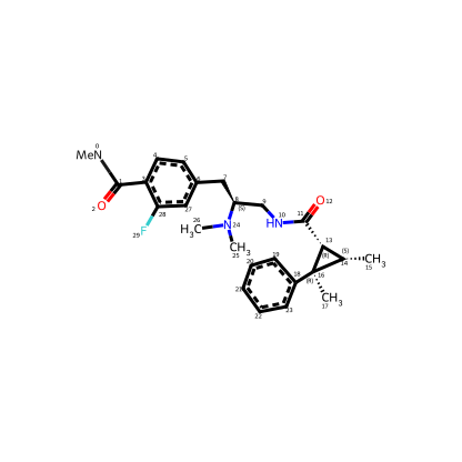 CNC(=O)c1ccc(C[C@@H](CNC(=O)[C@@H]2[C@H](C)[C@@]2(C)c2ccccc2)N(C)C)cc1F